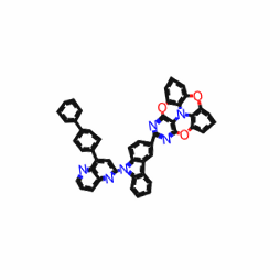 c1ccc(-c2ccc(-c3cc(-n4c5ccccc5c5cc(-c6nc7c8c(n6)Oc6cccc9c6N8c6c(cccc6O7)O9)ccc54)nc4cccnc34)cc2)cc1